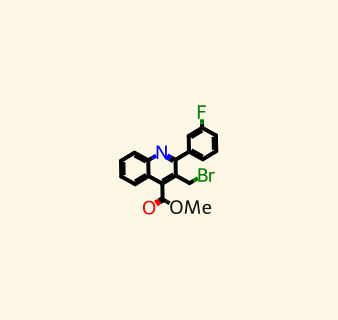 COC(=O)c1c(CBr)c(-c2cccc(F)c2)nc2ccccc12